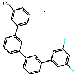 Cc1cccc(-c2cccc(-c3cccc(-c4cc(F)cc(F)c4)c3)c2)c1